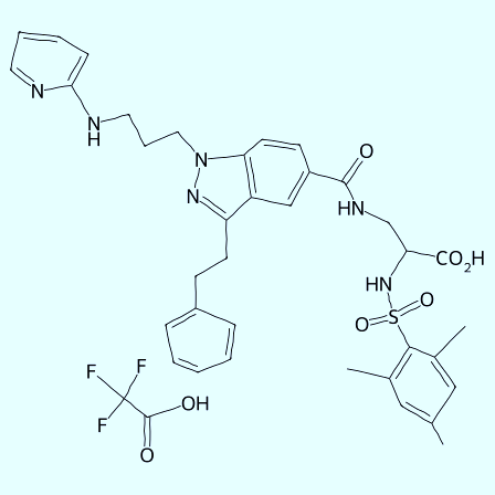 Cc1cc(C)c(S(=O)(=O)NC(CNC(=O)c2ccc3c(c2)c(CCc2ccccc2)nn3CCCNc2ccccn2)C(=O)O)c(C)c1.O=C(O)C(F)(F)F